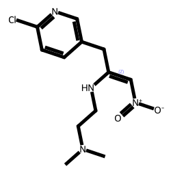 CN(C)CCN/C(=C\[N+](=O)[O-])Cc1ccc(Cl)nc1